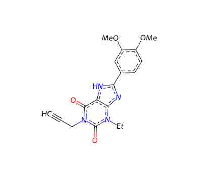 C#CCn1c(=O)c2[nH]c(-c3ccc(OC)c(OC)c3)nc2n(CC)c1=O